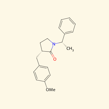 COc1ccc(C[C@@H]2CCN([C@@H](C)c3ccccc3)C2=O)cc1